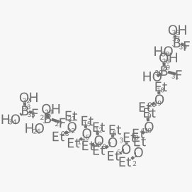 CCOCC.CCOCC.CCOCC.CCOCC.CCOCC.CCOCC.CCOCC.CCOCC.OB(O)F.OB(O)F.OB(O)F.OB(O)F